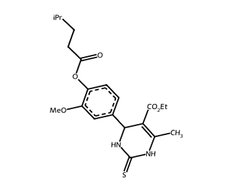 CCOC(=O)C1=C(C)NC(=S)NC1c1ccc(OC(=O)CCC(C)C)c(OC)c1